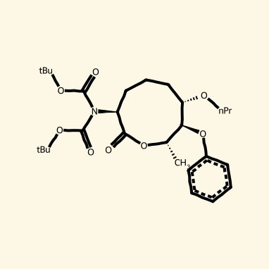 CCCO[C@H]1CCC[C@H](N(C(=O)OC(C)(C)C)C(=O)OC(C)(C)C)C(=O)O[C@@H](C)[C@@H]1Oc1ccccc1